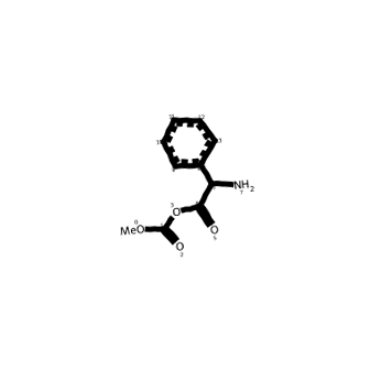 COC(=O)OC(=O)C(N)c1ccccc1